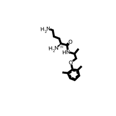 Cc1cccc(C)c1OCC(C)NC(=O)[C@@H](N)CCCN